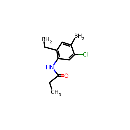 BCc1cc(B)c(Cl)cc1NC(=O)CC